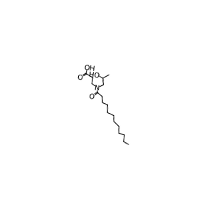 CCCCCCCCCCCC(=O)N(CCC(=O)O)CC(C)O